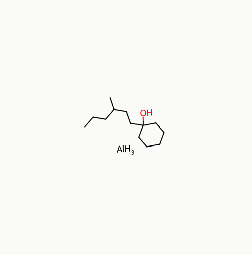 CCCC(C)CCC1(O)CCCCC1.[AlH3]